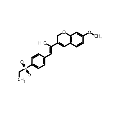 CCS(=O)(=O)c1ccc(C=C(C)C2=Cc3ccc(OC)cc3OC2)cc1